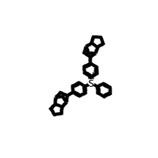 c1ccc([SH](c2ccc(C3CC4CC3C3CCCC43)cc2)c2ccc(C3CC4CC3C3CCCC43)cc2)cc1